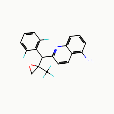 Nc1cccc2nc(C(c3c(F)cccc3F)C3(C(F)(F)F)CO3)ccc12